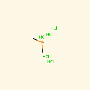 C[P]C.Cl.Cl.Cl.Cl.Cl